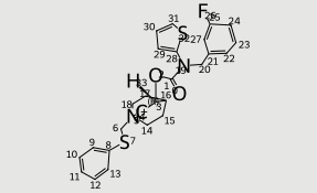 O=C(O[C@H]1C[N+]2(CSc3ccccc3)CCC1CC2)N(Cc1cccc(F)c1)c1cccs1